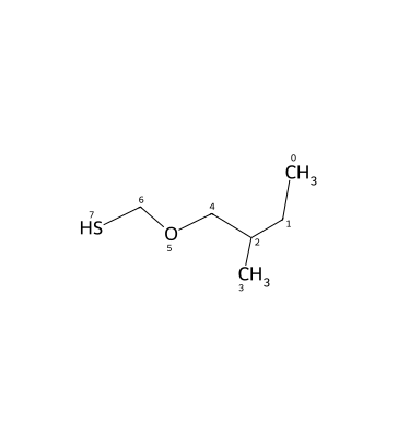 CCC(C)COCS